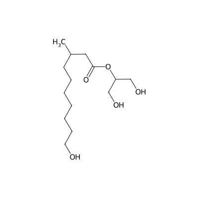 CC(CCCCCCCO)CC(=O)OC(CO)CO